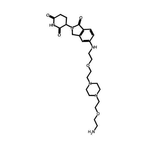 NCCOCCN1CCN(CCOCCNc2ccc3c(c2)CN(C2CCC(=O)NC2=O)C3=O)CC1